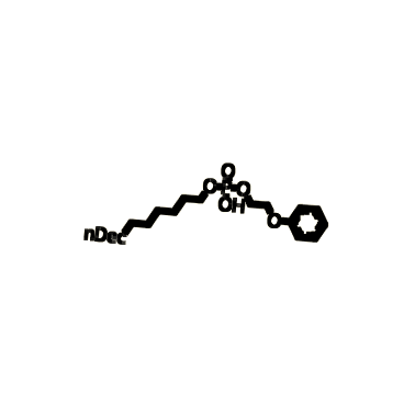 CCCCCCCCCCCCCCCCOP(=O)(O)OCCOc1ccccc1